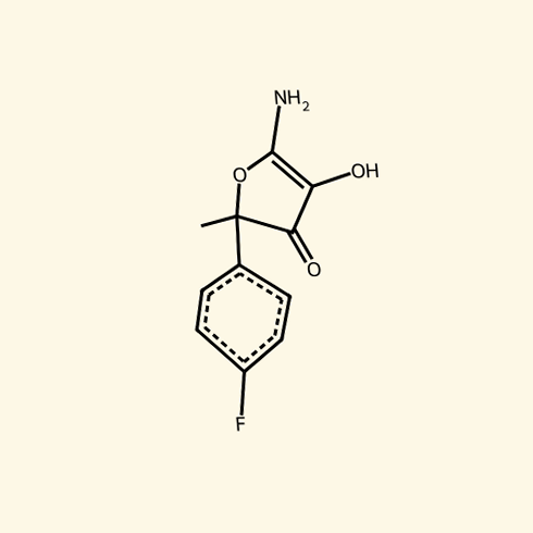 CC1(c2ccc(F)cc2)OC(N)=C(O)C1=O